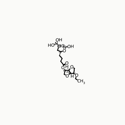 CCO[C@@H]1CO[C@H]2[C@@H]1OC[C@H]2OC(=O)CCC[C@@H](CON(O)O)ON(O)O